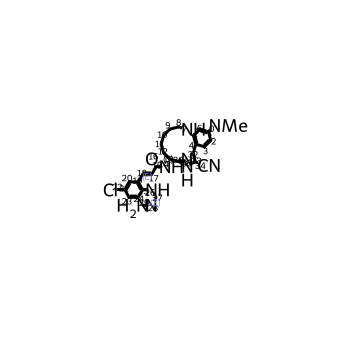 CNc1ccc2c(c1)NCCCCC[C@H](NC(=O)/C=C/c1cc(Cl)ccc1N/C=N\N)C1=NC2C(C#N)N1